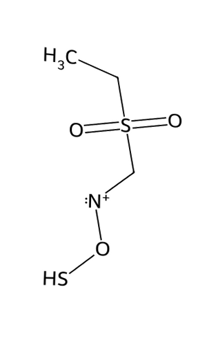 CCS(=O)(=O)C[N+]OS